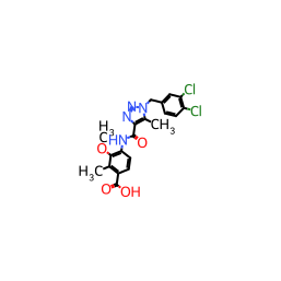 COc1c(NC(=O)c2nnn(Cc3ccc(Cl)c(Cl)c3)c2C)ccc(C(=O)O)c1C